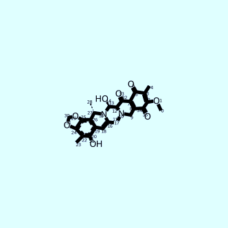 COC1=C(C)C(=O)C2=C(CN(C)C([C@H](O)N3C(C)=Cc4c(O)c(C)c5c(c4[C@@H]3C)OCO5)C2=O)C1=O